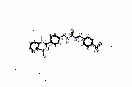 Nc1ncccc1NC(=O)c1ccc(CNC(=O)/C=C/c2ccc([N+](=O)[O-])cc2)cc1